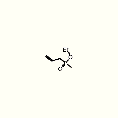 C=CCP(C)(=O)OCC